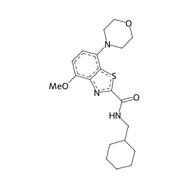 COc1ccc(N2CCOCC2)c2sc(C(=O)NCC3CCCCC3)nc12